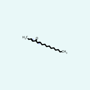 CC/C=C/C(=O)/C=C/CCCCCCCCCC